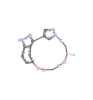 C[C@H]1CCn2cc(cn2)-c2n[nH]c3ccc(cc23)OCCCO1